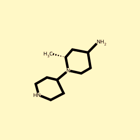 C[C@@H]1CC(N)CCN1C1CCNCC1